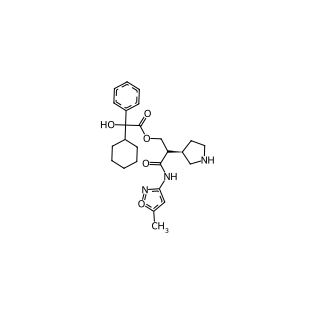 Cc1cc(NC(=O)C(COC(=O)C(O)(c2ccccc2)C2CCCCC2)[C@H]2CCNC2)no1